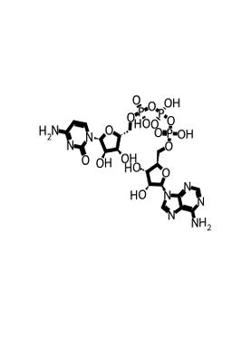 Nc1ccn([C@@H]2O[C@H](COP(=O)(O)OP(=O)(O)OP(=O)(O)OC[C@H]3O[C@@H](n4cnc5c(N)ncnc54)[C@H](O)[C@@H]3O)[C@@H](O)[C@H]2O)c(=O)n1